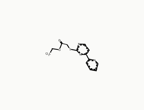 O=C(CSc1nccc(-c2ccccn2)n1)OCC(Cl)(Cl)Cl